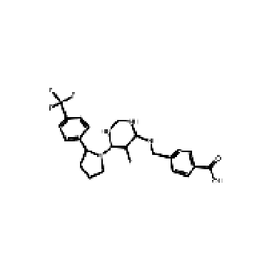 O=C(O)c1ccc(CNC2NCNC(N3CCCC3c3ccc(C(F)(F)F)cc3)C2F)cc1